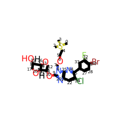 CS(C)(C)CCOCn1c(O[C@@H]2CO[C@H]3[C@@H]2OC[C@H]3O)nc2cc(Cl)c(-c3ccc(Br)c(F)c3)nc21